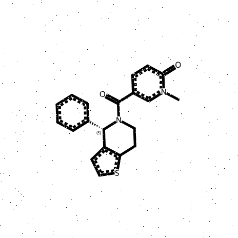 Cn1cc(C(=O)N2CCc3sccc3[C@@H]2c2ccccc2)ccc1=O